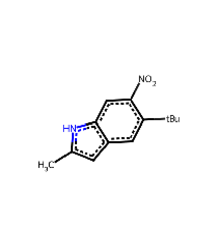 Cc1cc2cc(C(C)(C)C)c([N+](=O)[O-])cc2[nH]1